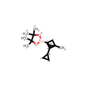 CC12CC(B3OC(C)(C)C(C)(C)O3)(C1)C2C1CC1